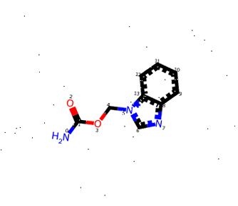 NC(=O)OCn1cnc2ccccc21